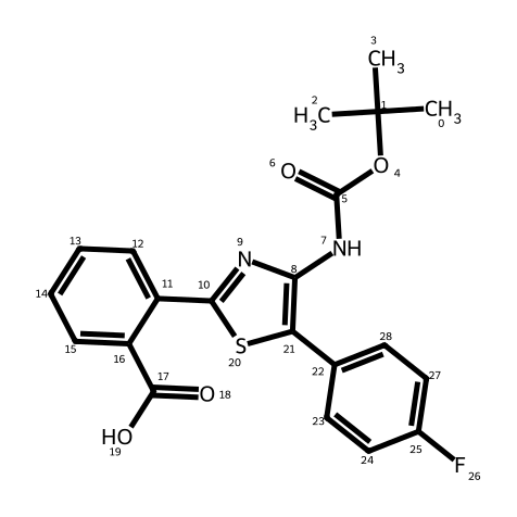 CC(C)(C)OC(=O)Nc1nc(-c2ccccc2C(=O)O)sc1-c1ccc(F)cc1